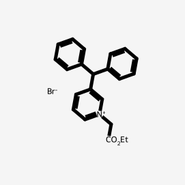 CCOC(=O)C[n+]1cccc(C(c2ccccc2)c2ccccc2)c1.[Br-]